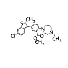 CCN1CCCN(c2ccc(-c3c(C)sc4cc(Cl)ccc34)cc2C(=O)OC)CC1